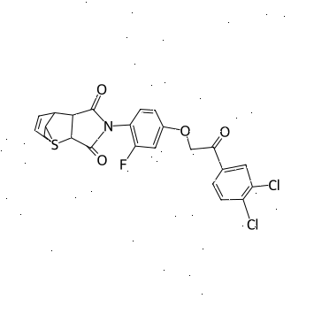 O=C(COc1ccc(N2C(=O)C3C4C=CS5(CC45)C3C2=O)c(F)c1)c1ccc(Cl)c(Cl)c1